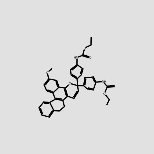 C=C(Nc1ccc(C2(c3ccc(NC(=O)OCC)cc3)C=Cc3c4c(c5ccc(OC)cc5c3O2)-c2ccccc2CC4)cc1)OCC